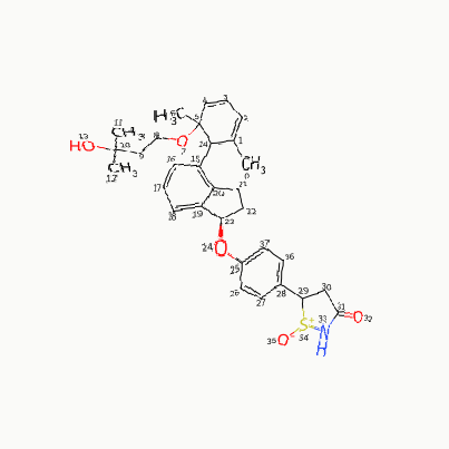 CC1=CC=CC(C)(OCCC(C)(C)O)C1c1cccc2c1CC[C@H]2Oc1ccc(C2CC(=O)N[S+]2[O-])cc1